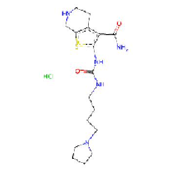 Cl.NC(=O)c1c(NC(=O)NCCCCN2CCCC2)sc2c1CCNC2